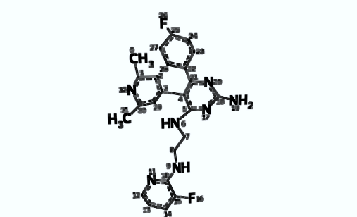 Cc1cc(-c2c(NCCNc3ncccc3F)nc(N)nc2-c2ccc(F)cc2)cc(C)n1